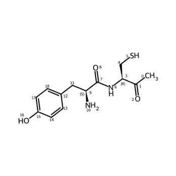 CC(=O)[C@H](CS)NC(=O)[C@@H](N)Cc1ccc(O)cc1